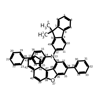 CC1(C)c2ccccc2-c2ccc(N(c3ccc(-c4ccccc4)cc3)c3cc(-c4ccccc4)cc4oc5ccc6ccccc6c5c34)cc21